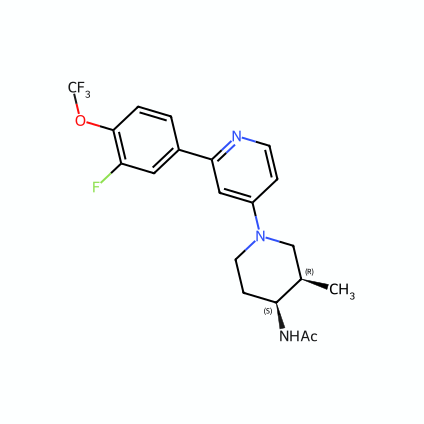 CC(=O)N[C@H]1CCN(c2ccnc(-c3ccc(OC(F)(F)F)c(F)c3)c2)C[C@H]1C